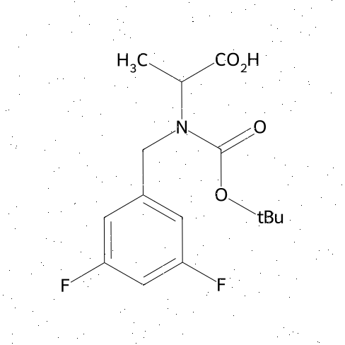 CC(C(=O)O)N(Cc1cc(F)cc(F)c1)C(=O)OC(C)(C)C